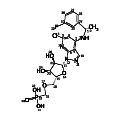 C[C@H](Nc1cc(Cl)nc2c1cnn2[C@@H]1O[C@H](COCP(=O)(O)O)[C@@H](O)[C@H]1O)c1cccc(F)c1